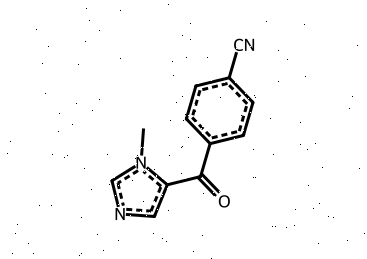 Cn1cncc1C(=O)c1ccc(C#N)cc1